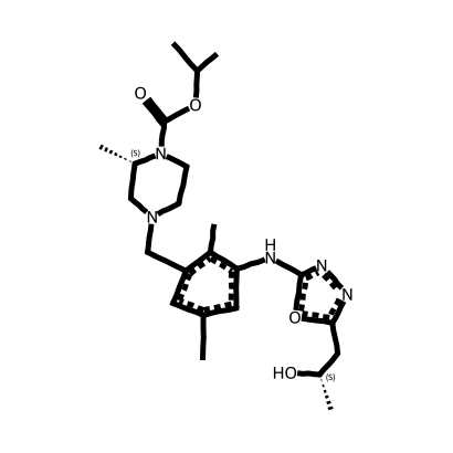 Cc1cc(CN2CCN(C(=O)OC(C)C)[C@@H](C)C2)c(C)c(Nc2nnc(C[C@H](C)O)o2)c1